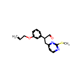 C=CCOc1cccc(C(C=O)Cc2ccnc(SC)n2)c1